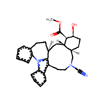 COC(=O)[C@@H]1[C@H]2C[C@@H]3CCc4ccccc4-n4c3c(c3ccccc34)CCN(C#N)C[C@@H]2CC[C@@H]1O